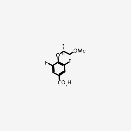 COC[C@@H](C)Oc1c(F)cc(C(=O)O)cc1F